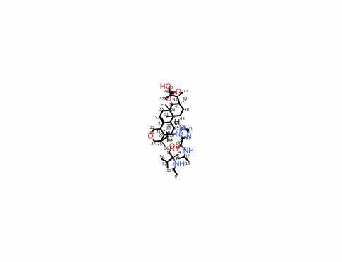 CCN[C@@](C)(CO[C@H]1[C@H](n2ncnc2C(=O)NC(C)C)C[C@@]23COC[C@]1(C)[C@@H]2CC[C@H]1C3=CC[C@]2(C)[C@H](OC(=O)O)[C@@](C)([C@H](C)C(C)C)CC[C@]12C)C(C)C